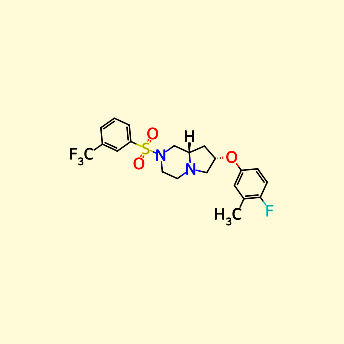 Cc1cc(O[C@H]2C[C@H]3CN(S(=O)(=O)c4cccc(C(F)(F)F)c4)CCN3C2)ccc1F